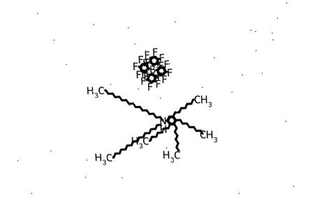 CCCCCCCCCCCCCCCCCC[NH+](CCCCCCCCCCCCCCCCCC)c1cc(CCCCCCCC)c(CCCCCCCC)c(CCCCCCCC)c1CCCCCCCC.Fc1c(F)c(F)c([B-](c2c(F)c(F)c(F)c(F)c2F)(c2c(F)c(F)c(F)c(F)c2F)c2c(F)c(F)c(F)c(F)c2F)c(F)c1F